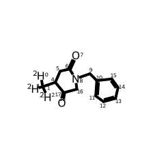 [2H]C([2H])([2H])C1CC(=O)N(Cc2ccccc2)CC1=O